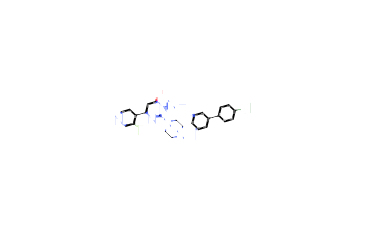 Nn1c(N2CCN[C@@H](c3ccc(-c4ccc(Cl)cc4)cc3)C2)nc(-c2ccncc2F)cc1=O